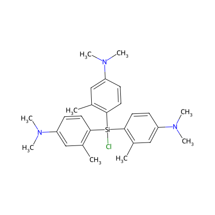 Cc1cc(N(C)C)ccc1[Si](Cl)(c1ccc(N(C)C)cc1C)c1ccc(N(C)C)cc1C